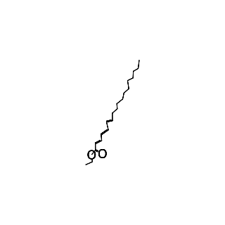 CCCCCCCCCCCC=C/C=C/C=C/C(=O)OCC